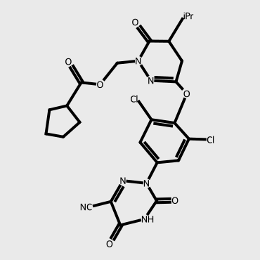 CC(C)C1CC(Oc2c(Cl)cc(-n3nc(C#N)c(=O)[nH]c3=O)cc2Cl)=NN(COC(=O)C2CCCC2)C1=O